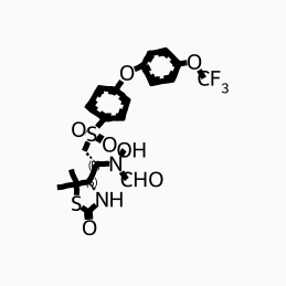 CC1(C)SC(=O)N[C@H]1[C@H](CS(=O)(=O)c1ccc(Oc2ccc(OC(F)(F)F)cc2)cc1)N(O)C=O